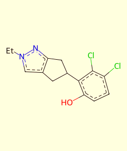 CCn1cc2c(n1)CC(c1c(O)ccc(Cl)c1Cl)C2